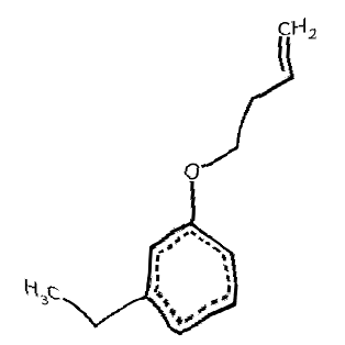 C=CCCOc1cccc(CC)c1